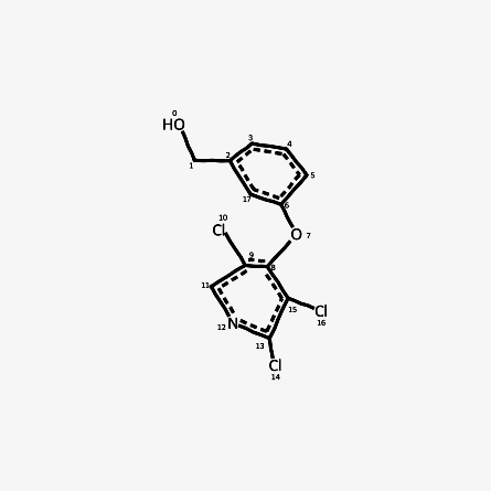 OCc1cccc(Oc2c(Cl)cnc(Cl)c2Cl)c1